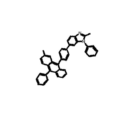 Cc1ccc2c(-c3ccccc3)c3ccccc3c(-c3ccc(-c4ccc5nc(C)n(-c6ccccc6)c5c4)cc3)c2c1